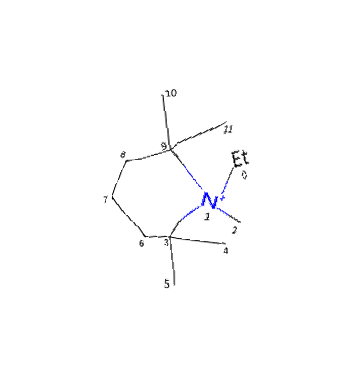 CC[N+]1(C)C(C)(C)CCCC1(C)C